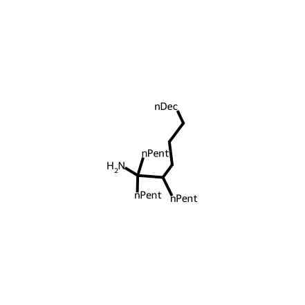 CCCCCCCCCCCCCC(CCCCC)C(N)(CCCCC)CCCCC